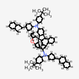 CC(C)(C)c1ccc(N(c2ccc(-c3ccc4ccccc4c3)cc2)c2ccc3c(c2)C2(c4ccccc4Oc4ccccc42)c2c-3c3ccccc3c3cc(N(c4ccc(-c5ccc6ccccc6c5)cc4)c4ccc(C(C)(C)C)cc4)ccc23)cc1